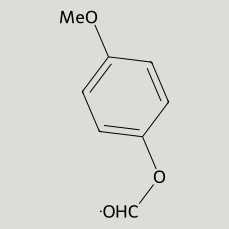 COc1ccc(O[C]=O)cc1